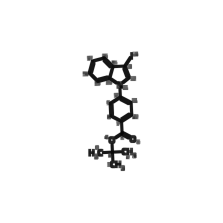 CC(C)(C)OC(=O)c1ccc(-n2cc(I)c3ccccc32)cc1